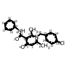 Cc1cc(=O)c(C(=O)Nc2ccccc2)c(C)n1Cc1ccc(Cl)cc1